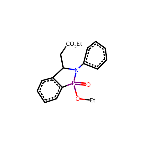 CCOC(=O)CC1c2ccccc2P(=O)(OCC)N1c1ccccc1